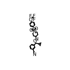 N#Cc1cccc(C(ON=C2CCN(S(=O)(=O)c3ccc(OC(F)(F)F)cc3)CC2)C2CC2)c1